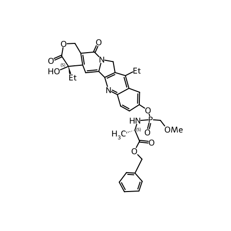 CCc1c2c(nc3ccc(OP(=O)(COC)N[C@@H](C)C(=O)OCc4ccccc4)cc13)-c1cc3c(c(=O)n1C2)COC(=O)[C@]3(O)CC